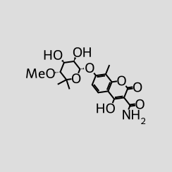 CO[C@@H]1[C@@H](O)[C@@H](O)[C@H](Oc2ccc3c(O)c(C(N)=O)c(=O)oc3c2C)OC1(C)C